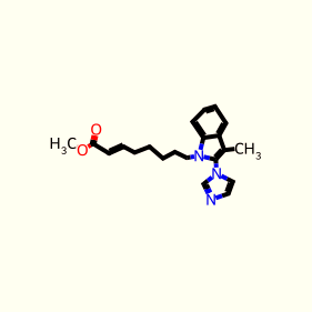 COC(=O)C=CCCCCCn1c(-n2ccnc2)c(C)c2ccccc21